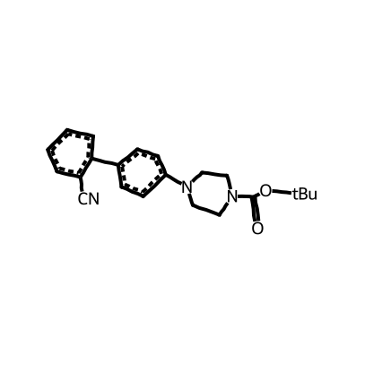 CC(C)(C)OC(=O)N1CCN(c2ccc(-c3ccccc3C#N)cc2)CC1